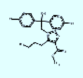 COC(=O)c1nnn(CC(O)(c2ccc(Cl)cc2)c2ccc(Cl)cc2)c1CCCO